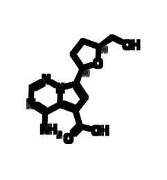 Nc1ncnn2c([C@H]3CC[C@@H](CO)O3)cc(C(=O)O)c12